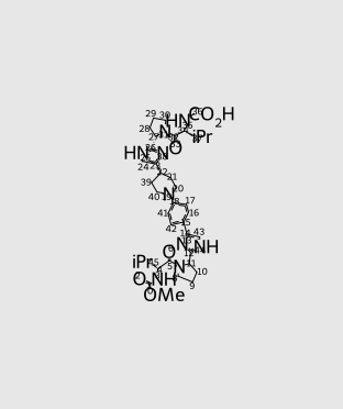 COC(=O)N[C@H](C(=O)N1CCCC1c1nc(-c2ccc(N3CCC(c4c[nH]c([C@@H]5CCCN5C(=O)[C@@H](NC(=O)O)C(C)C)n4)CC3)cc2)c[nH]1)C(C)C